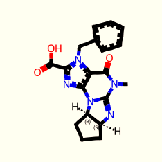 CN1C(=O)c2c(nc(C(=O)O)n2Cc2ccccc2)N2C1=N[C@H]1CCC[C@H]12